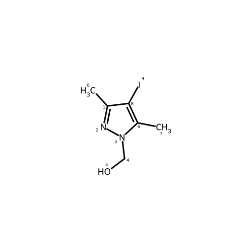 Cc1nn(CO)c(C)c1I